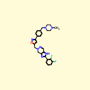 CN1CCN(Cc2ccc(-c3cc(CN4Cc5nc(-c6cccc(F)c6F)[nH]c5C=N4)on3)cc2)CC1